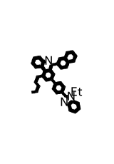 C/C=C\C=C/c1cc(-c2ccc(-c3nc4ccccc4n3CC)cc2)cc2c(-c3ccc4ccccc4c3)nc3ccccc3c12